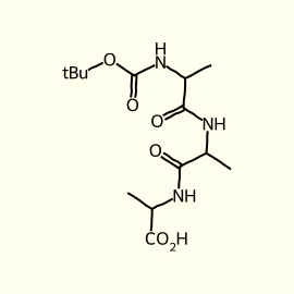 CC(NC(=O)C(C)NC(=O)C(C)NC(=O)OC(C)(C)C)C(=O)O